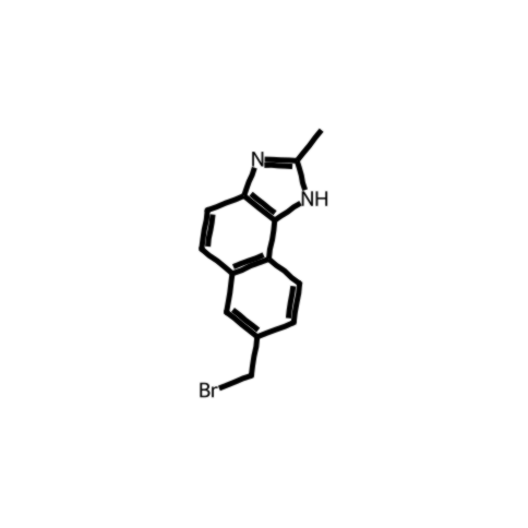 Cc1nc2ccc3cc(CBr)ccc3c2[nH]1